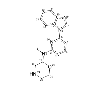 CN(c1nccc(-n2cnc3ccccc32)n1)C1CNCCO1